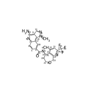 CN(C(=O)c1ccc2nc(N)c3cnn(C)c3c2c1)[C@@H]1CCOCc2nc(C(F)(F)F)ccc21